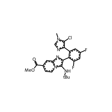 COC(=O)c1ccn2c(NC(C)(C)C)c(-c3c(F)cc(F)cc3-c3ncn(C)c3Cl)nc2c1